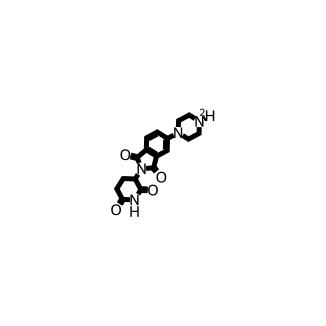 [2H]N1CCN(c2ccc3c(c2)C(=O)N(C2CCC(=O)NC2=O)C3=O)CC1